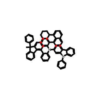 CC1(c2ccccc2)c2ccccc2-c2c(-c3ccccc3N(c3ccc4c5ccccc5n(-c5ccccc5)c4c3)c3ccccc3-c3cccc4cccc(C5CCCCC5)c34)cccc21